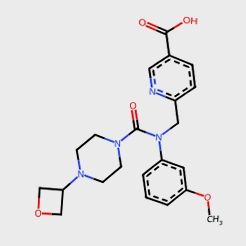 COc1cccc(N(Cc2ccc(C(=O)O)cn2)C(=O)N2CCN(C3COC3)CC2)c1